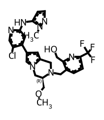 COC[C@H]1Cn2cc(-c3cc(Nc4ccnn4C)ncc3Cl)cc2CN1Cc1ccc(C(F)(F)F)nc1CO